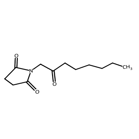 CCCCCCC(=O)CN1C(=O)CCC1=O